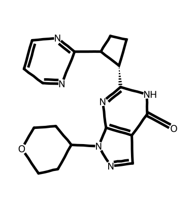 O=c1[nH]c([C@H]2CCC2c2ncccn2)nc2c1cnn2C1CCOCC1